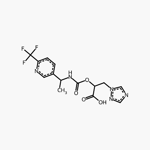 CC(NC(=O)OC(Cn1cncn1)C(=O)O)c1ccc(C(F)(F)F)nc1